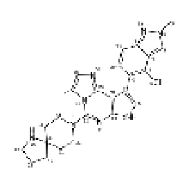 Cn1cc2c(Cl)c(-c3c[nH]c4nc(N5CCC6(CCCN6)CC5)n5ccnc5c34)ccc2n1